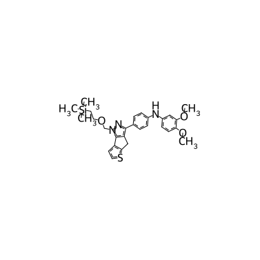 COc1ccc(Nc2ccc(-c3nn(COCC[Si](C)(C)C)c4c3Cc3sccc3-4)cc2)cc1OC